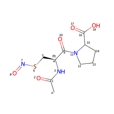 CC(=O)N[C@@H](CSN=O)C(=O)N1CCCC1C(=O)O